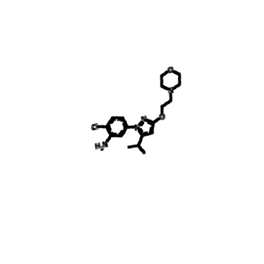 CC(C)c1cc(OCCN2CCOCC2)nn1-c1ccc(Cl)c(N)c1